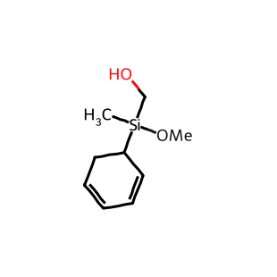 CO[Si](C)(CO)C1C=CC=CC1